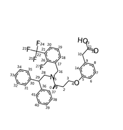 C[C@H](CCOc1cccc(CC(=O)O)c1)N(Cc1cccc(C(F)(F)F)c1F)CC(c1ccccc1)c1ccccc1